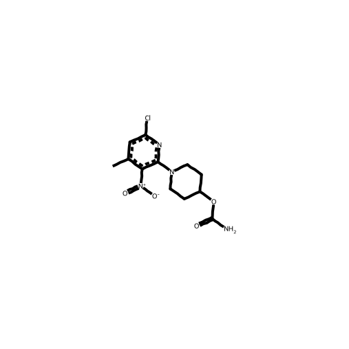 Cc1cc(Cl)nc(N2CCC(OC(N)=O)CC2)c1[N+](=O)[O-]